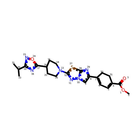 COC(=O)C1=CC=C(c2cn3nc(N4CCC(c5nc(C(C)C)no5)CC4)sc3n2)CC1